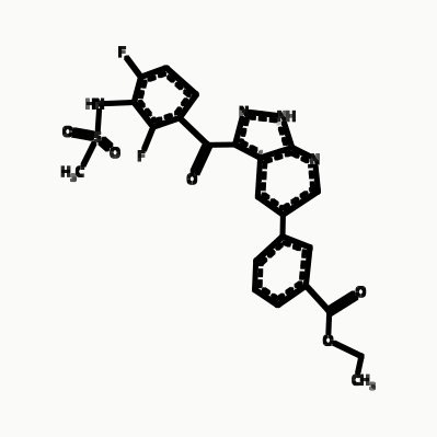 CCOC(=O)c1cccc(-c2cnc3[nH]nc(C(=O)c4ccc(F)c(NS(C)(=O)=O)c4F)c3c2)c1